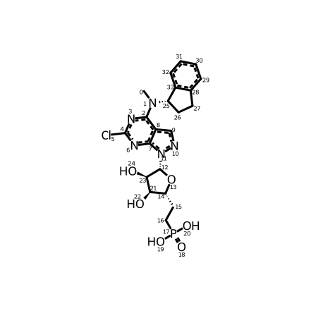 CN(c1nc(Cl)nc2c1cnn2[C@@H]1O[C@H](CCP(=O)(O)O)[C@@H](O)[C@H]1O)[C@H]1CCc2ccccc21